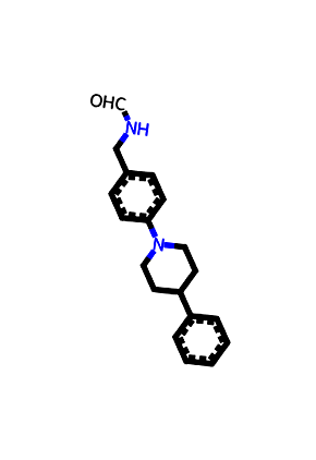 O=CNCc1ccc(N2CCC(c3ccccc3)CC2)cc1